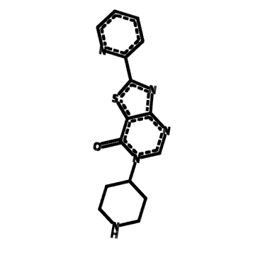 O=c1c2sc(-c3ccccn3)nc2ncn1C1CCNCC1